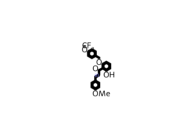 COc1ccc(/C=C/C(=O)c2c(O)cccc2OCc2ccc(OC(F)(F)F)cc2)cc1